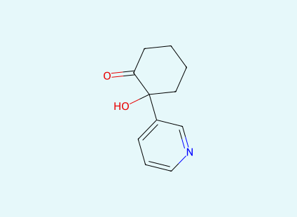 O=C1CCCCC1(O)c1cccnc1